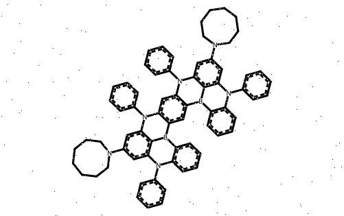 c1ccc(N2c3ccccc3B3c4cc5c(cc4N(c4ccccc4)c4cc(N6CCCCCCC6)cc2c43)N(c2ccccc2)c2cc(N3CCCCCCC3)cc3c2B5c2ccccc2N3c2ccccc2)cc1